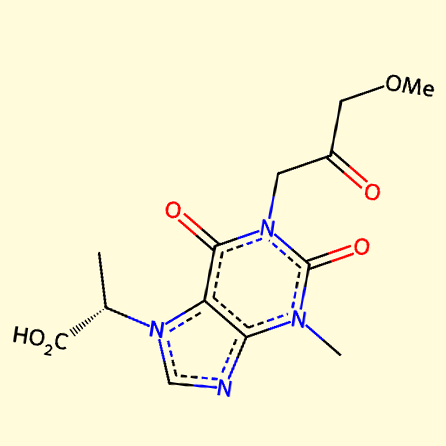 COCC(=O)Cn1c(=O)c2c(ncn2[C@@H](C)C(=O)O)n(C)c1=O